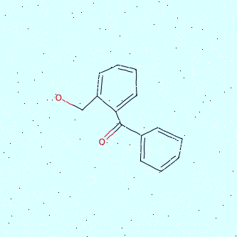 [O]Cc1ccccc1C(=O)c1ccccc1